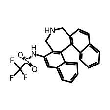 O=S(=O)(Nc1cc2ccccc2c2c1CNCc1ccc3ccccc3c1-2)C(F)(F)F